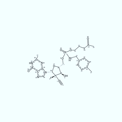 C#C[C@@]1(F)[C@H](O)[C@@H](COP(=O)(NCc2ccc(C)cc2)OCCSC(C)=O)O[C@H]1n1cnc2c(=O)[nH]c(C)nc21